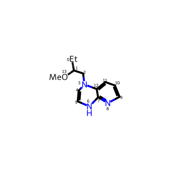 CCC(CN1C=CNc2ncccc21)OC